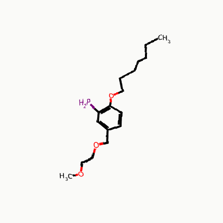 CCCCCCCOc1ccc(COCCOC)cc1P